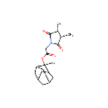 CCC1(OC(=O)CN2C(=O)C(C)C(C)C2=O)C2CC3CC(C2)CC1C3